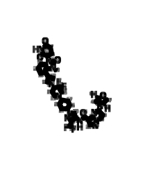 Cn1c(=O)n(C2CCC(=O)NC2=O)c2cccc(C3CN(C4CCN([C@H]5CC[C@H](n6cc(NC(=O)c7cnn8ccc(N9C[C@H]%10C[C@@H]9CO%10)nc78)c(C(F)F)n6)CC5)CC4(F)F)C3)c21